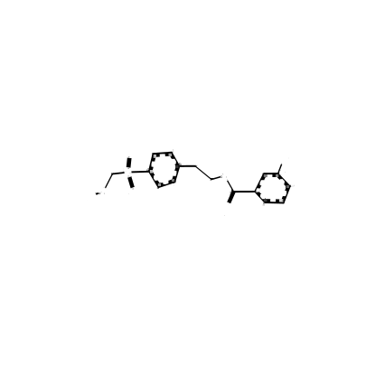 CCOC(=O)NCS(=O)(=O)c1ccc(CCNC(=O)c2cccc(F)c2)cc1